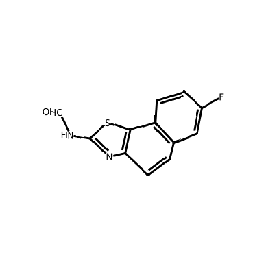 O=CNc1nc2ccc3cc(F)ccc3c2s1